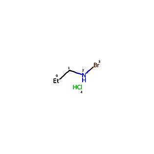 CCCNBr.Cl